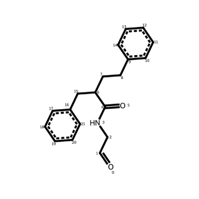 O=C[CH]NC(=O)C(CCc1ccccc1)Cc1ccccc1